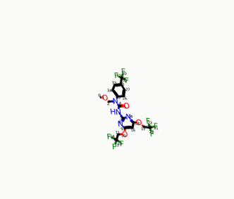 COCN(C(=O)Nc1nc(OCC(F)(F)F)cc(OCC(F)(F)F)n1)c1ccc(C(F)(F)F)cc1